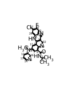 CC(C)NC(=O)c1cc(N(C)c2cccnc2)cc2c(Nc3ccc(F)c(Cl)c3)c(C#N)cnc12